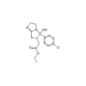 CCOC(=O)CC1SC2=NCCN2C1(O)c1ccc(Cl)cc1